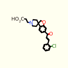 O=C(O)CCN1CCC2(CC1)COc1cc(C(=O)/C=C/c3ccccc3Cl)ccc12